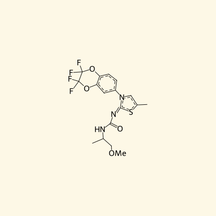 COCC(C)NC(=O)N=c1sc(C)cn1-c1ccc2c(c1)OC(F)(F)C(F)(F)O2